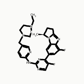 CCN1CCN(Cc2ccc(Nc3ncc(F)c(-c4cc(F)c5nc6n(c5c4)[C@@H](C)CC6)n3)nc2)CC1